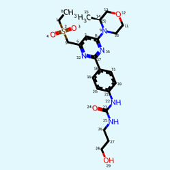 CCS(=O)(=O)Cc1cc(N2CCOC[C@@H]2C)nc(-c2ccc(NC(=O)NCCCO)cc2)n1